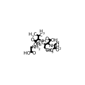 CC(C)C(N)C(=O)O.CCC(C)C(N)C(=O)O.NCC(=O)O.NCC(=O)O